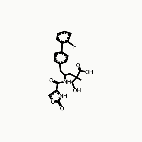 CC(CO)(CC(Cc1ccc(-c2ccccc2F)cc1)NC(=O)c1coc(=O)[nH]1)C(=O)O